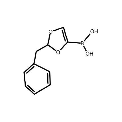 OB(O)C1=COC(Cc2ccccc2)O1